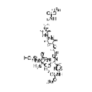 CC(C)(C)OC(=O)NCCC[n+]1ccn(-c2ccc(OCCO/N=C(\C(=O)N[C@@H]3C(=O)N(OS(=O)(=O)O)C3(C)C)c3csc(NC(=O)OC(C)(C)C)n3)cn2)c1